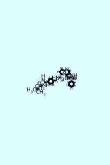 CC(C)(C)OC(=O)NC(=N)c1ccc(CNC(=O)[C@@H]2CCc3ncc(NS(=O)(=O)c4ccccc4)c(=O)n32)cc1